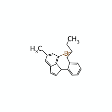 CCCCc1ccccc1C1C=Cc2cc(C)cc(Br)c21